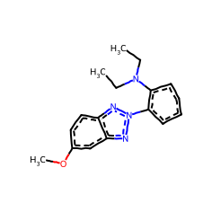 CCN(CC)c1ccccc1-n1nc2ccc(OC)cc2n1